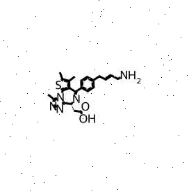 Cc1sc2c(c1C)C(c1ccc(CC=CCN)cc1)=N[C@H](CC(=O)O)c1nnc(C)n1-2